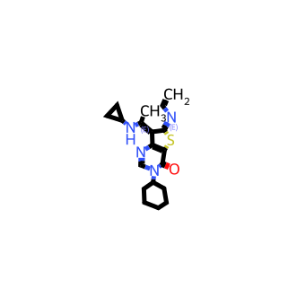 C=C/N=C1/Sc2c(ncn(C3CCCCC3)c2=O)/C1=C(/C)NC1CC1